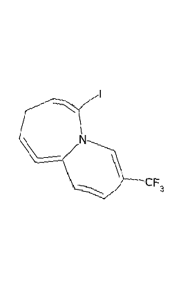 FC(F)(F)C1=CN2C(=C=CCC=C2I)C=C1